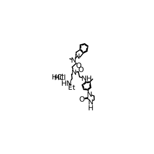 CCNCCN(CC(=O)N(C)N1Cc2ccccc2C1)C(=O)CNc1ccc(N2CCNC2=O)cc1C.Cl.Cl